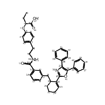 CCC(Oc1ccc(CCNC(=O)c2cccc(CC3CCCC=C3c3nc(-c4ccccc4)c(-c4ccccc4)o3)c2)cc1)C(=O)O